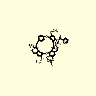 COc1cc(NC(=O)c2cccs2)c2cc1Oc1ccc(cc1)C[C@H]1c3cc(c(OC)cc3CCN1C)Oc1c(OC)c(OC)cc3c1[C@H](C2)N(C)CC3